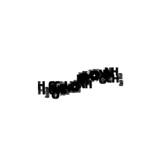 C[C@@H](N)C(=O)Nc1ccc(-c2ccnc(Nc3ccc(N4CCN(C(=O)C(C)(C)C)CC4)cc3)n2)cc1